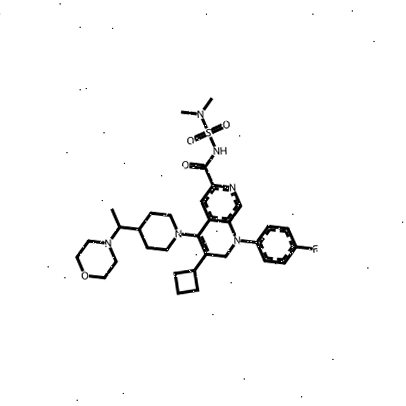 CC(C1CCN(C2=C(C3CCC3)CN(c3ccc(F)cc3)c3cnc(C(=O)NS(=O)(=O)N(C)C)cc32)CC1)N1CCOCC1